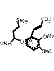 COc1cccc(C=CC(=O)O)c1OC.CSCCC(NC(C)=O)C(=O)O